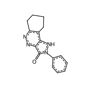 O=c1c2nnc3c(c2[nH]n1-c1ccccc1)CCCC3